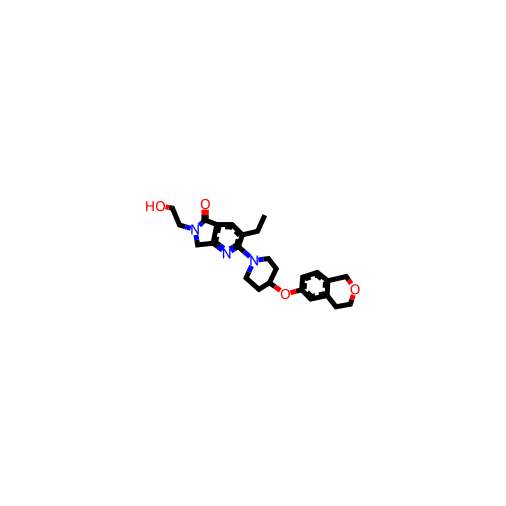 CCc1cc2c(nc1N1CCC(Oc3ccc4c(c3)CCOC4)CC1)CN(CCO)C2=O